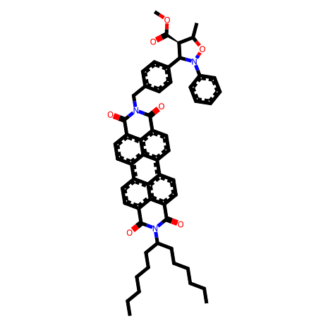 CCCCCCC(CCCCCC)N1C(=O)c2ccc3c4ccc5c6c(ccc(c7ccc(c2c37)C1=O)c64)C(=O)N(Cc1ccc(C2[C@@H](C(=O)OC)C(C)ON2c2ccccc2)cc1)C5=O